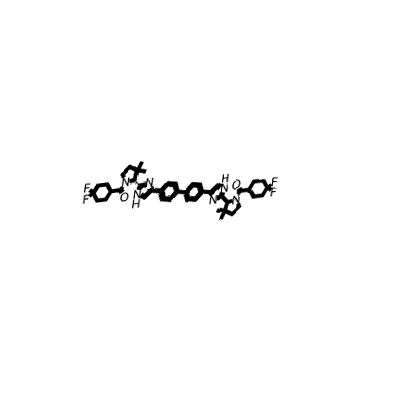 CC1(C)CCN(C(=O)C2CCC(F)(F)CC2)C1c1nc(-c2ccc(-c3ccc(-c4c[nH]c([C@@H]5N(C(=O)C6CCC(F)(F)CC6)CCC5(C)C)n4)cc3)cc2)c[nH]1